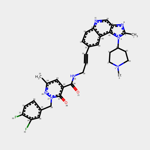 CCN1CCC(n2c(C)nc3cnc4ccc(C#CCNC(=O)c5cc(C)nn(Cc6ccc(F)c(F)c6)c5=O)cc4c32)CC1